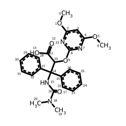 COc1cc(OC)nc(OC(C(=O)O)C(NC(=O)N(C)C)(c2ccccc2)c2ccccc2)n1